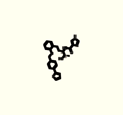 C[C@H](O)[C@@H](CCc1ccccc1OCc1ccc(-c2cccs2)cc1)NC(=O)c1c[nH]cn1